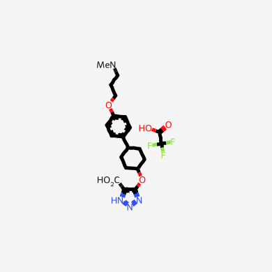 CNCCCOc1ccc(C2CCC(Oc3nn[nH]c3C(=O)O)CC2)cc1.O=C(O)C(F)(F)F